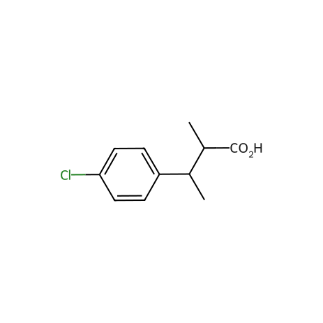 CC(C(=O)O)C(C)c1ccc(Cl)cc1